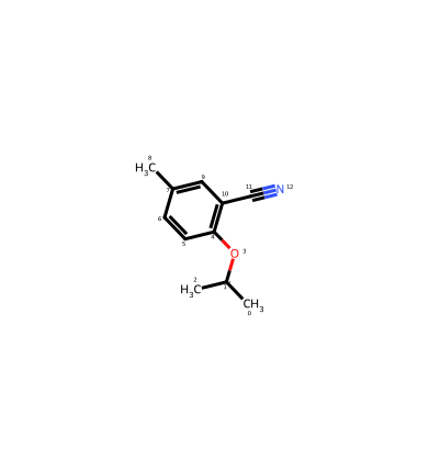 C[C](C)Oc1ccc(C)cc1C#N